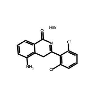 Br.Nc1cccc2c1CC(c1c(Cl)cccc1Cl)=NC2=O